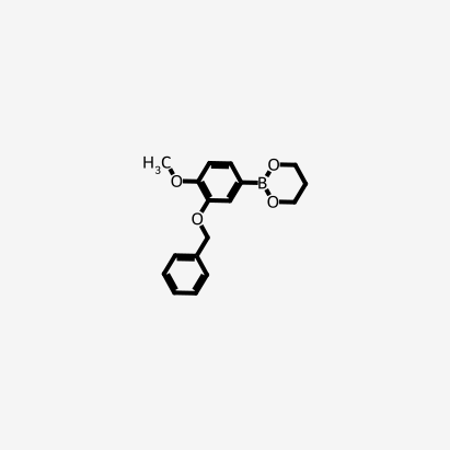 COc1ccc(B2OCCCO2)cc1OCc1ccccc1